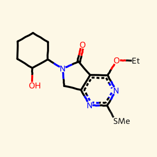 CCOc1nc(SC)nc2c1C(=O)N(C1CCCCC1O)C2